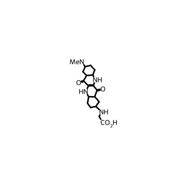 CNC1CCC2NC3=C(NC4CCC(NCC(=O)O)CC4C3=O)C(=O)C2C1